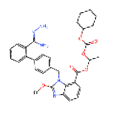 CCOc1nc2cccc(C(=O)OC(C)OC(=O)OC3CCCCC3)c2n1Cc1ccc(-c2ccccc2/C(N)=N/N)cc1